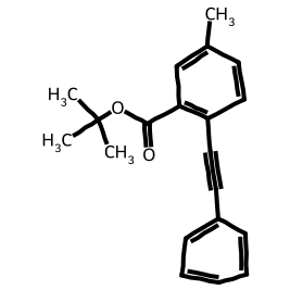 Cc1ccc(C#Cc2ccccc2)c(C(=O)OC(C)(C)C)c1